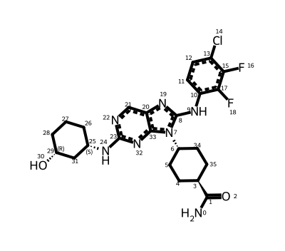 NC(=O)[C@H]1CC[C@H](n2c(Nc3ccc(Cl)c(F)c3F)nc3cnc(N[C@H]4CCC[C@@H](O)C4)nc32)CC1